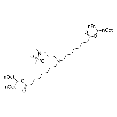 CCCCCCCCC(CCC)OC(=O)CCCCCCCN(CCCCCCCC(=O)OC(CCCCCCCC)CCCCCCCC)CCCN(C)S(C)(=O)=O